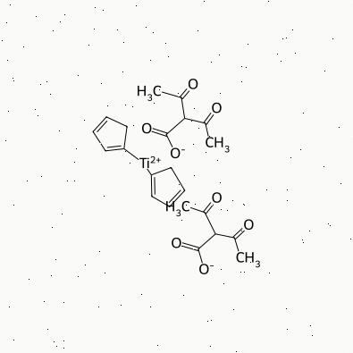 C1=CC[C]([Ti+2][C]2=CC=CC2)=C1.CC(=O)C(C(C)=O)C(=O)[O-].CC(=O)C(C(C)=O)C(=O)[O-]